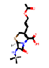 CC(=O)OC/C=C/C1=C(C(=O)O)N2C(=O)C(N[Si](C)(C)C)[C@H]2SC1